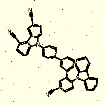 N#Cc1ccc(-n2c3ccccc3c3ccccc32)c(-c2cccc(-c3ccc(-n4c5ccc(C#N)cc5c5c(C#N)cccc54)cc3)c2)c1